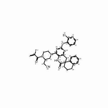 C=C(F)C(=O)N1CCN(c2nc(Oc3cccnc3CC)nc3c2NC(=O)C2(CCCc4ccccc42)C3)CC1CC#N